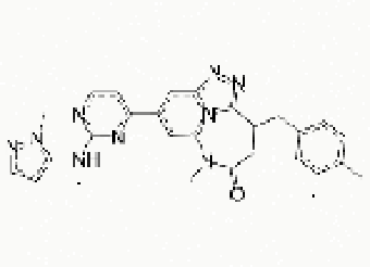 Cc1ccc(CC2CC(=O)N(C)c3cc(-c4ccnc(Nc5ccnn5C)n4)cc4nnc2n34)cc1